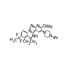 COc1nc2ncnc(N[C@H](C)c3cccc(C(C)(F)F)c3C)c2cc1N1CCN(C(C)C)CC1